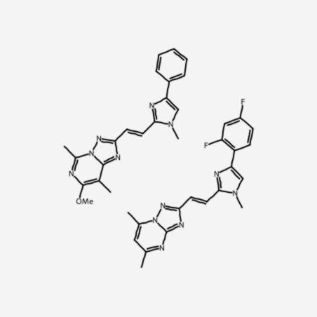 COc1nc(C)n2nc(C=Cc3nc(-c4ccccc4)cn3C)nc2c1C.Cc1cc(C)n2nc(C=Cc3nc(-c4ccc(F)cc4F)cn3C)nc2n1